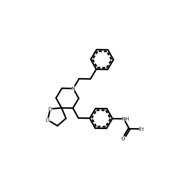 CCC(=O)Nc1ccc(CC2CN(CCc3ccccc3)CCC23CCOO3)cc1